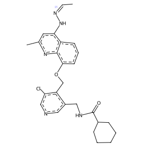 C/C=N\Nc1cc(C)nc2c(OCc3c(Cl)cncc3CNC(=O)C3CCCCC3)cccc12